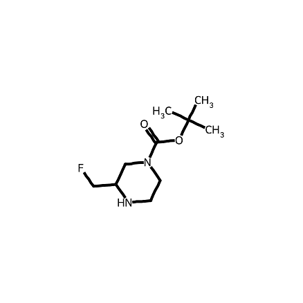 CC(C)(C)OC(=O)N1CCNC(CF)C1